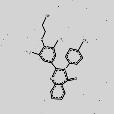 Cc1cc(-c2nc3ccccc3c(=O)n2-c2ccc(C(F)(F)F)cc2)cc(C)c1OCCO